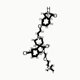 C[Si](C)(C)CCOCN1C(=O)C2(CCN(CCOc3ccc4c(c3)CNC4=O)CC2)c2cc(Cl)ccc21